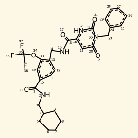 O=C(NCC1CCCCC1)c1ccc(CNC(=O)c2cc(=O)n(Cc3ccccc3)c(=O)[nH]2)c(OC(F)(F)F)c1